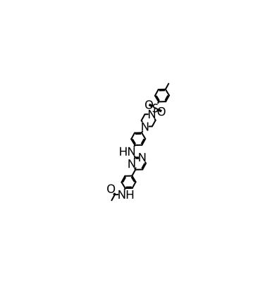 CC(=O)Nc1ccc(-c2ccnc(Nc3ccc(N4CCN(S(=O)(=O)c5ccc(C)cc5)CC4)cc3)n2)cc1